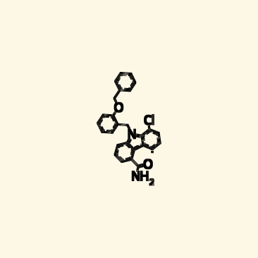 NC(=O)c1cccc2c1c1[c]ccc(Cl)c1n2Cc1ccccc1OCc1ccccc1